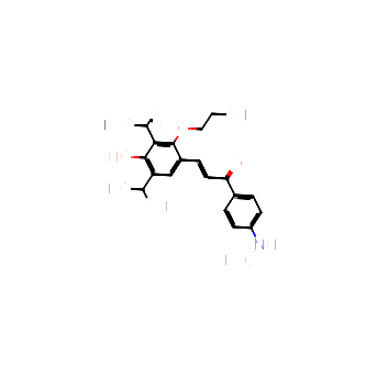 CCCOc1c(C=CC(=O)c2ccc(NC)cc2)cc(C(C)C)c(O)c1C(C)C